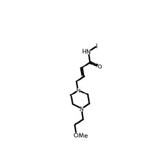 COCCN1CCN(C/C=C/C(=O)NI)CC1